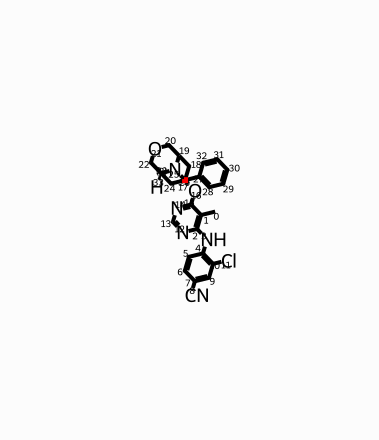 Cc1c(Nc2ccc(C#N)cc2Cl)ncnc1OC1CC2COC[C@@H](C1)N2Cc1ccccc1